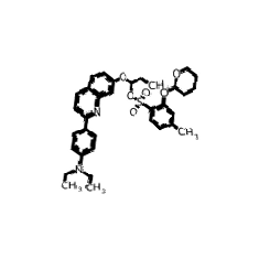 CCC(Oc1ccc2ccc(-c3ccc(N(CC)CC)cc3)nc2c1)OS(=O)(=O)c1ccc(C)cc1OC1CCCCO1